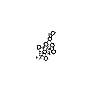 CC1(C)c2ccccc2-c2ccc(-c3cc4c(cc3-c3ccc(N(c5ccccc5)c5ccc6c(c5)C(C)(C)c5ccccc5-6)cc3)sc3ccccc34)cc21